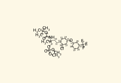 COP(=O)(OC)OC[C@@](C)(CCc1ccc(Oc2cccc(C(F)(F)F)c2)cc1Cl)NC(=O)OC(C)(C)C